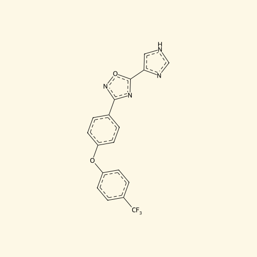 FC(F)(F)c1ccc(Oc2ccc(-c3noc(-c4c[nH]cn4)n3)cc2)cc1